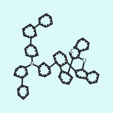 c1ccc(-c2cccc(-c3ccc(N(c4cccc(-c5ccccc5)c4)c4cccc(-c5cccc6c5-c5ccccc5C65c6ccc7ccccc7c6Oc6c5ccc5ccccc65)c4)cc3)c2)cc1